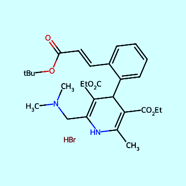 Br.CCOC(=O)C1=C(C)NC(CN(C)C)=C(C(=O)OCC)C1c1ccccc1C=CC(=O)OC(C)(C)C